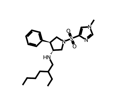 CCCCC(CC)CN[C@H]1CN(S(=O)(=O)c2cn(C)cn2)C[C@@H]1c1ccccc1